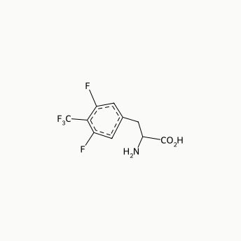 NC(Cc1cc(F)c(C(F)(F)F)c(F)c1)C(=O)O